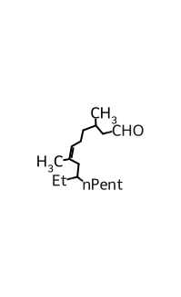 CCCCCC(CC)C/C(C)=C\CCC(C)CC=O